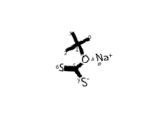 CC(C)(C)OC(=S)[S-].[Na+]